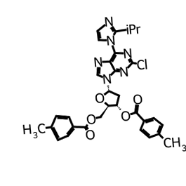 Cc1ccc(C(=O)OC[C@H]2O[C@H](n3cnc4c(-n5ccnc5C(C)C)nc(Cl)nc43)C[C@@H]2OC(=O)c2ccc(C)cc2)cc1